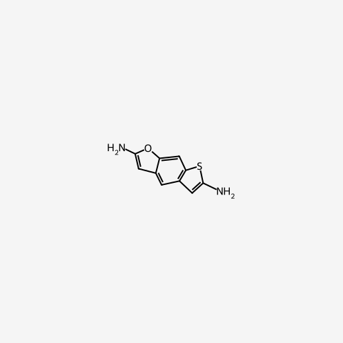 Nc1cc2cc3cc(N)sc3cc2o1